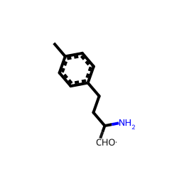 Cc1ccc(CCC(N)[C]=O)cc1